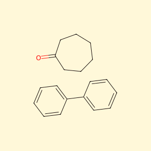 O=C1CCCCCC1.c1ccc(-c2ccccc2)cc1